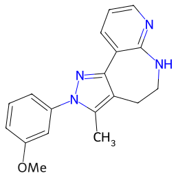 COc1cccc(-n2nc3c(c2C)CCNc2ncccc2-3)c1